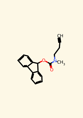 C#CCCN(C)C(=O)OC1c2ccccc2-c2ccccc21